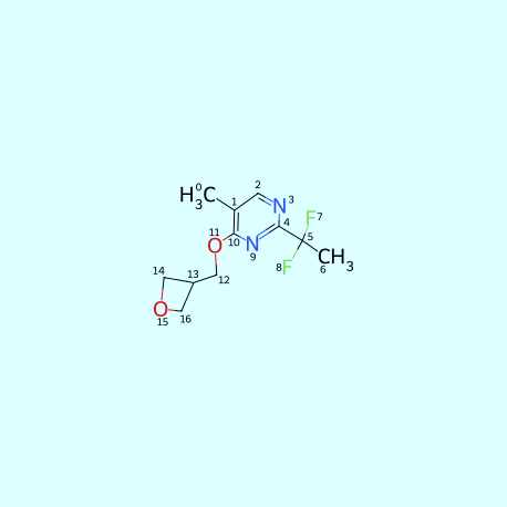 Cc1cnc(C(C)(F)F)nc1OCC1COC1